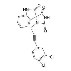 O=C1NC(=O)[C@@]2(C(=O)Nc3ccccc32)N1CC#Cc1ccc(Cl)c(Cl)c1